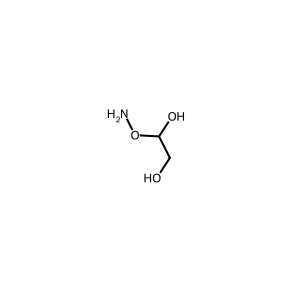 NOC(O)CO